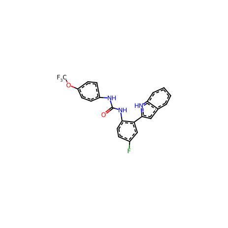 O=C(Nc1ccc(OC(F)(F)F)cc1)Nc1ccc(F)cc1-c1cc2ccccc2[nH]1